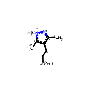 CCCCCCCc1c(C)nn(C)c1C